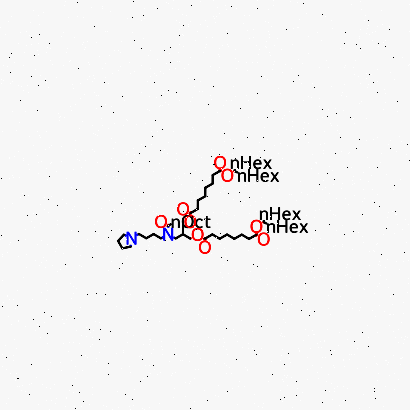 CCCCCCCCC(=O)N(CCCCN1CCCC1)CC(COC(=O)CCCCCCC(=O)OC(CCCCCC)CCCCCC)COC(=O)CCCCCCC(=O)OC(CCCCCC)CCCCCC